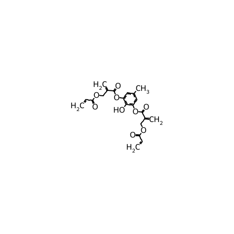 C=CC(=O)OCC(=C)C(=O)Oc1cc(C)cc(OC(=O)C(=C)COC(=O)C=C)c1O